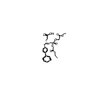 CCOC(=O)COP(=O)(CN[C@@H](CCC(=O)O)Cc1ccc(-c2ccccc2)cc1)OCC(=O)OCC